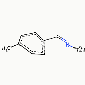 CCCC/N=C/c1ccc(C)cc1